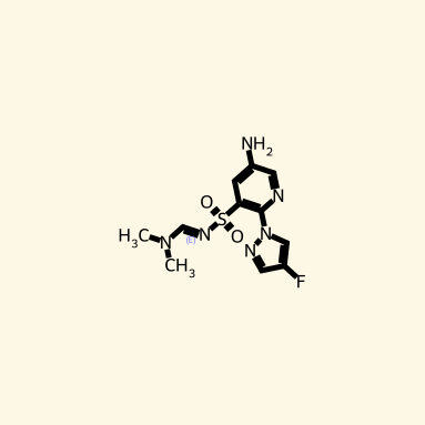 CN(C)/C=N/S(=O)(=O)c1cc(N)cnc1-n1cc(F)cn1